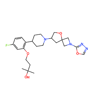 CC(C)(O)CCOc1cc(F)ccc1C1CCN(C2COC3(C2)CN(c2nnco2)C3)CC1